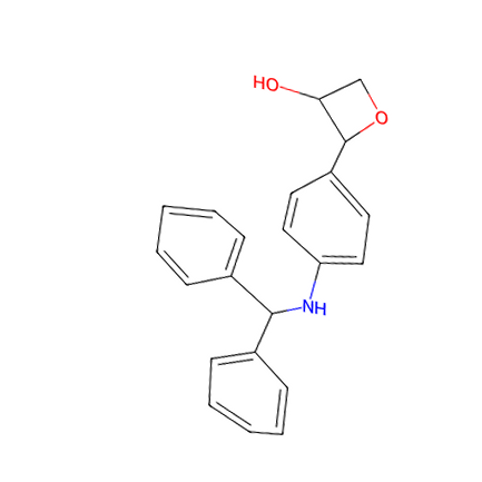 OC1COC1c1ccc(NC(c2ccccc2)c2ccccc2)cc1